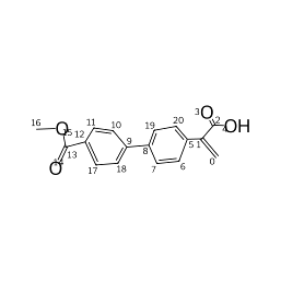 C=C(C(=O)O)c1ccc(-c2ccc(C(=O)OC)cc2)cc1